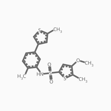 COc1cc(S(=O)(=O)Nc2cc(-c3csc(C)c3)ccc2C)sc1C